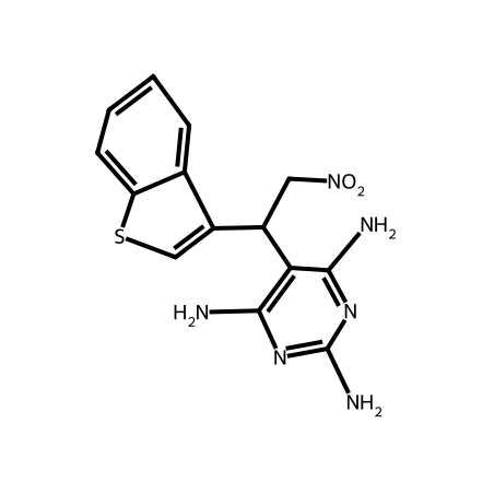 Nc1nc(N)c(C(C[N+](=O)[O-])c2csc3ccccc23)c(N)n1